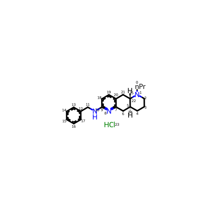 CCCN1CCC[C@H]2Cc3nc(NCc4ccccc4)ccc3C[C@@H]21.Cl